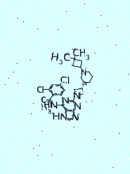 C[C@@H](Nc1nc(N2CC([C@H]3CCCN(C4CC(C)(C)C4)C3)C2)nc2nc[nH]c12)c1ccc(Cl)cc1Cl